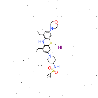 CCc1cc(N2CCOCC2)cc2c1Nc1c(CC)cc(N3CCC(NS(=O)(=O)C4CC4)CC3)cc1S2.I